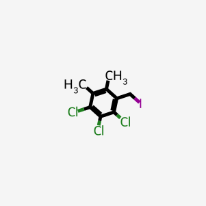 Cc1c(C)c(CI)c(Cl)c(Cl)c1Cl